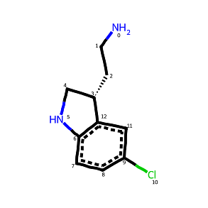 NCC[C@H]1CNc2ccc(Cl)cc21